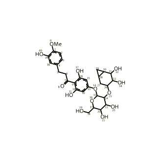 COc1ccc(CCC(=O)c2c(O)cc(OC3OC(CO)C(O)C(O)C3OC3CC4CC4C(O)C3O)cc2O)cc1O